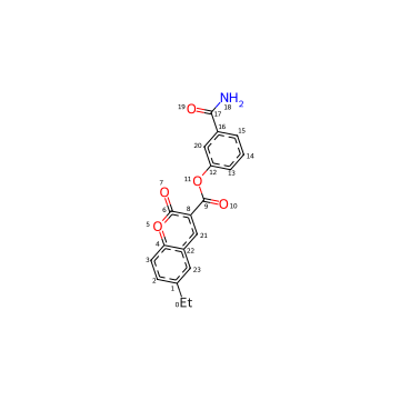 CCc1ccc2oc(=O)c(C(=O)Oc3cccc(C(N)=O)c3)cc2c1